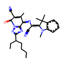 CCCCC(CC)c1nc2n(n1)C(=O)C(C#N)=C(C)/C2=N/C(C#N)=C1/N(C)c2ccccc2C1(C)C